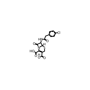 O=C(Cc1ccc(Cl)cc1)NC1C(=O)N2C(C(=O)O)=C(C(=O)O)CS[C@@H]12